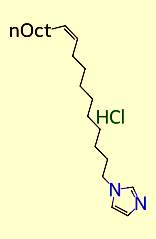 CCCCCCCC/C=C\CCCCCCCCCn1ccnc1.Cl